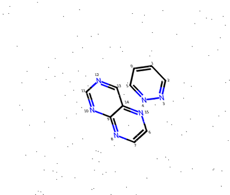 c1ccnnc1.c1cnc2ncncc2n1